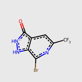 O=c1[nH][nH]c2c(Br)nc(C(F)(F)F)cc12